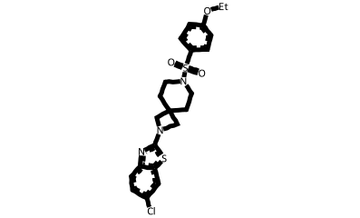 CCOc1ccc(S(=O)(=O)N2CCC3(CC2)CN(c2nc4ccc(Cl)cc4s2)C3)cc1